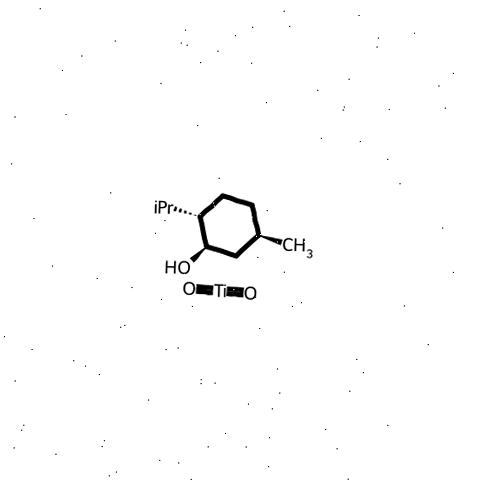 CC(C)[C@@H]1CC[C@@H](C)C[C@H]1O.[O]=[Ti]=[O]